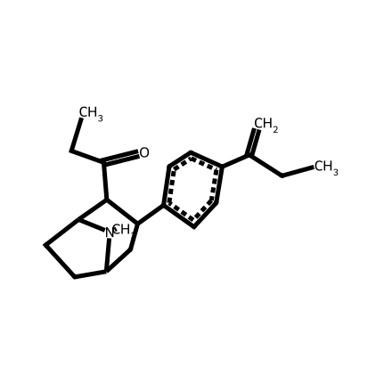 C=C(CC)c1ccc(C2CC3CCC(C2C(=O)CC)N3C)cc1